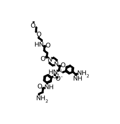 COCCOCCNC(=O)CCC(=O)N1CCN(C(=O)[C@H](Cc2cccc(C(=N)N)c2)N[S+]([O-])c2cccc(NC(=O)CCN)c2)CC1